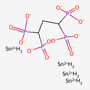 O=P([O-])([O-])C(CC(P(=O)([O-])[O-])P(=O)([O-])[O-])P(=O)([O-])[O-].[SnH2+2].[SnH2+2].[SnH2+2].[SnH2+2]